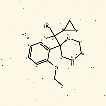 CCOc1ccccc1C1(C(C)(O)C2CC2)CNCCO1.Cl